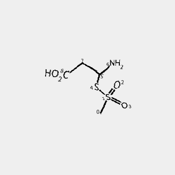 CS(=O)(=O)SC(N)CC(=O)O